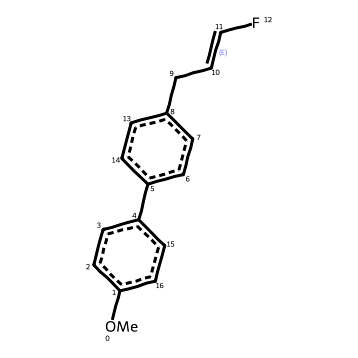 COc1ccc(-c2ccc(C/C=C/F)cc2)cc1